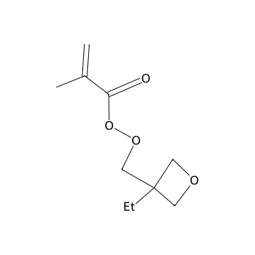 C=C(C)C(=O)OOCC1(CC)COC1